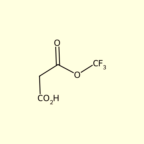 O=C(O)CC(=O)OC(F)(F)F